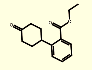 CCOC(=O)c1ccccc1C1CCC(=O)CC1